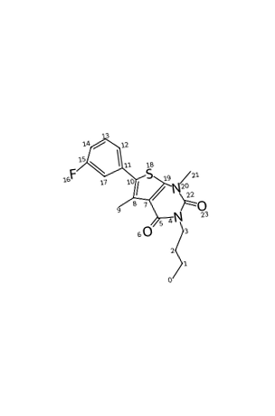 CCCCn1c(=O)c2c(C)c(-c3cccc(F)c3)sc2n(C)c1=O